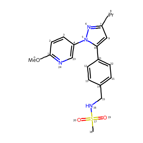 COc1ccc(-n2nc(C(C)C)cc2-c2ccc(CNS(C)(=O)=O)cc2)cn1